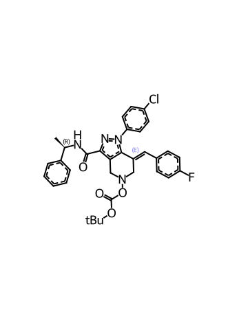 C[C@@H](NC(=O)c1nn(-c2ccc(Cl)cc2)c2c1CN(OC(=O)OC(C)(C)C)C/C2=C\c1ccc(F)cc1)c1ccccc1